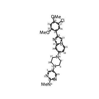 CNc1ncc(N2CCN(c3ccn4cc(-c5cc(Cl)c(OC)cc5OC)nc4c3)CC2)cn1